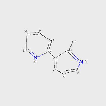 Cc1nc[c]cc1-c1ccccn1